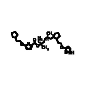 C[C@H](CCC(C)(C)OC(=O)n1ccc(OCCC2CCCC2)n1)CC1CCCC1CCOc1cc[nH]n1